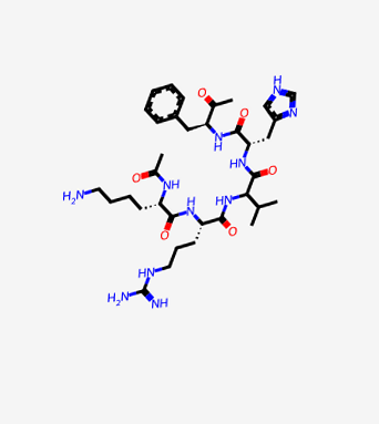 CC(=O)N[C@@H](CCCCN)C(=O)N[C@@H](CCCNC(=N)N)C(=O)NC(C(=O)N[C@@H](Cc1c[nH]cn1)C(=O)N[C@@H](Cc1ccccc1)C(C)=O)C(C)C